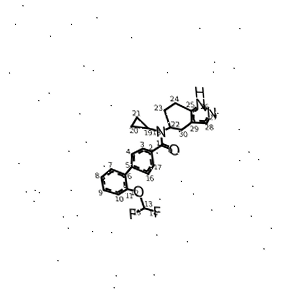 O=C(c1ccc(-c2ccccc2OC(F)F)cc1)N(C1CC1)C1CCc2[nH]ncc2C1